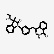 CCNC1(C)C(=O)N(c2cccc(Cc3n[nH]c(=O)c4ccccc34)c2)c2ccccc21